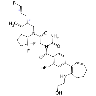 C=C/C(=C\C=C\F)CN(C(=O)CN(C(N)=O)C(=O)c1ccc(C2=C(NCCO)CCCC=C2)cc1CCC)C1CCCC1(F)F